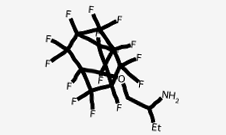 CCC(N)COC1(F)C2(F)C(F)(F)C3(F)C(F)(F)C(F)(C2(F)F)C(F)(F)C1(F)C3(F)F